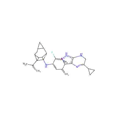 C=C(/C=C(NC1C2CCC(C3CC32)C1C(=C)C)\C(F)=C/C)c1n[nH]c2c1N=C(C1CC1)CN2